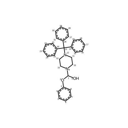 OC(Oc1ccccc1)N1CCN(C(c2ccccc2)(c2ccccc2)c2ccccc2)CC1